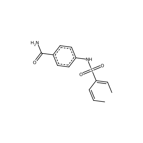 C/C=C\C(=C/C)S(=O)(=O)Nc1ccc(C(N)=O)cc1